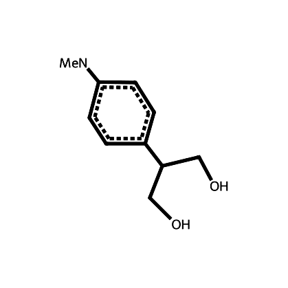 CNc1ccc(C(CO)CO)cc1